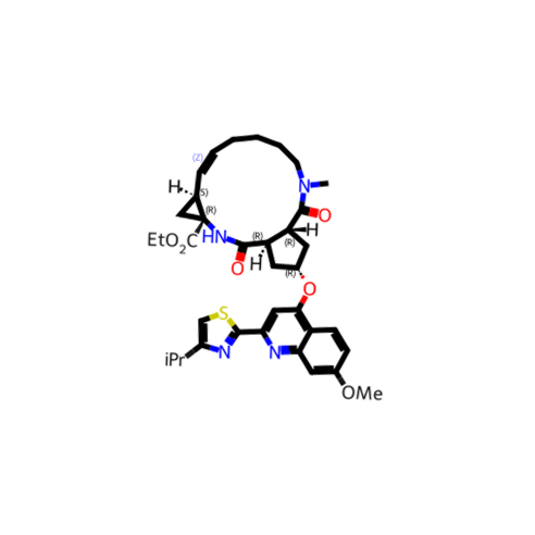 CCOC(=O)[C@@]12C[C@H]1/C=C\CCCCN(C)C(=O)[C@@H]1C[C@H](Oc3cc(-c4nc(C(C)C)cs4)nc4cc(OC)ccc34)C[C@H]1C(=O)N2